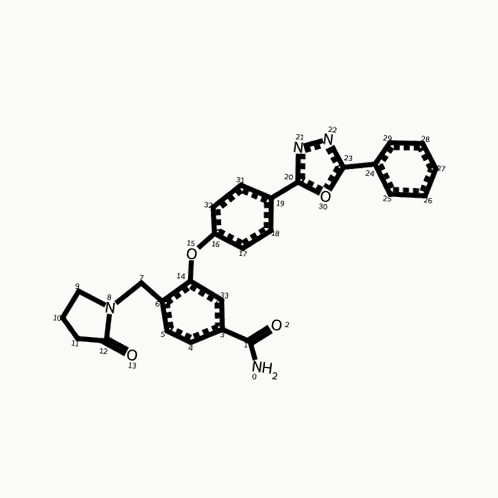 NC(=O)c1ccc(CN2CCCC2=O)c(Oc2ccc(-c3nnc(-c4ccccc4)o3)cc2)c1